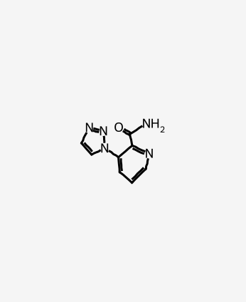 NC(=O)c1ncccc1-n1ccnn1